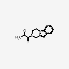 CC(Cl)C(=O)N1CCn2c(cc3ccccc32)C1